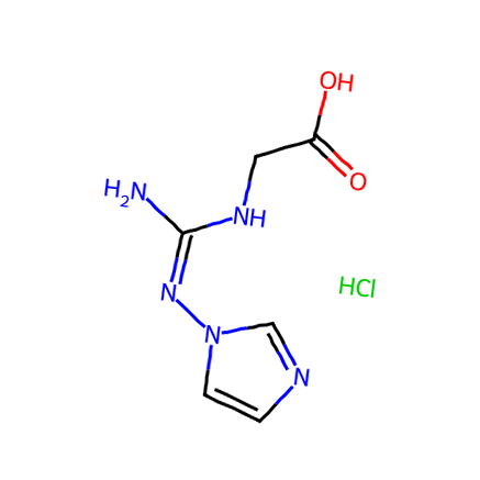 Cl.NC(=Nn1ccnc1)NCC(=O)O